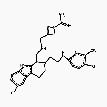 N=C(N)N1CC(CNCC2c3[nH]c4ccc(Cl)cc4c3CCN2CCNc2ccc(Cl)c(C(F)(F)F)n2)C1